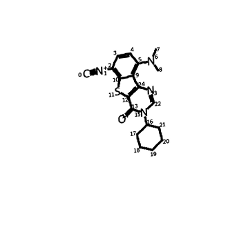 [C-]#[N+]c1ccc(N(C)C)c2c1sc1c(=O)n(C3CCCCC3)cnc12